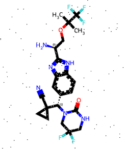 CC(C)(OC[C@H](N)c1nc2cc([C@H](N3CC(F)(F)CNC3=O)C3(C#N)CC3)ccc2[nH]1)C(F)(F)F